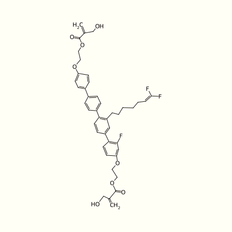 C=C(CO)C(=O)OCCOc1ccc(-c2ccc(-c3ccc(-c4ccc(OCCOC(=O)C(=C)CO)cc4F)cc3CCCCCC=C(F)F)cc2)cc1